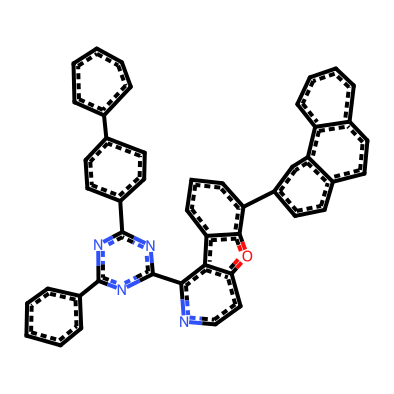 c1ccc(-c2ccc(-c3nc(-c4ccccc4)nc(-c4nccc5oc6c(-c7ccc8ccc9ccccc9c8c7)cccc6c45)n3)cc2)cc1